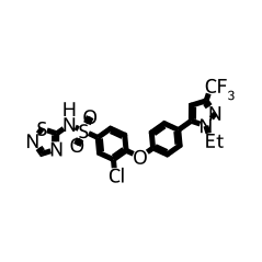 CCn1nc(C(F)(F)F)cc1-c1ccc(Oc2ccc(S(=O)(=O)Nc3ncns3)cc2Cl)cc1